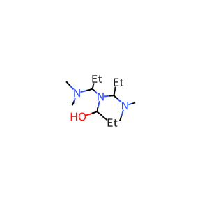 CCC(O)N(C(CC)N(C)C)C(CC)N(C)C